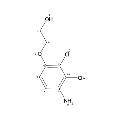 Nc1ccc(OCCO)c(Cl)c1Cl